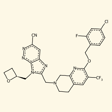 N#Cc1cc2nc(CN3CCc4cc(C(F)(F)F)c(OCc5ccc(Cl)cc5F)nc4C3)n(C[C@@H]3CCO3)c2nn1